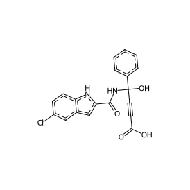 O=C(O)C#CC(O)(NC(=O)c1cc2cc(Cl)ccc2[nH]1)c1ccccc1